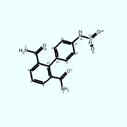 NC(=O)c1cccc(C(N)=O)c1-c1ccc(N[SH](=O)=O)cc1